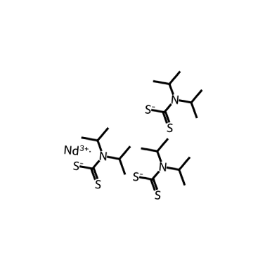 CC(C)N(C(=S)[S-])C(C)C.CC(C)N(C(=S)[S-])C(C)C.CC(C)N(C(=S)[S-])C(C)C.[Nd+3]